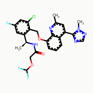 Cc1cc(-c2ncnn2C)c2cccc(OCc3c(Cl)cc(F)cc3[C@H](C)NC(=O)COC(F)F)c2n1